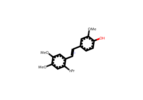 CCCc1cc(OC)c(OC)cc1/C=C/c1ccc(O)c(OC)c1